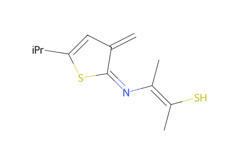 C=C1C=C(C(C)C)S/C1=N/C(C)=C(\C)S